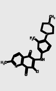 Cc1ccc2c(n1)C(=O)C(Cl)=C(Nc1ccc(N3CCN(C)CC3)c(C(F)(F)F)c1)C2=O